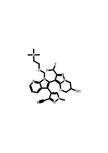 Cn1cc(-c2c(-c3c(C(F)F)nn4c3OCC(O)C4)n(COCC[Si](C)(C)C)c3ncccc23)c(C#N)n1